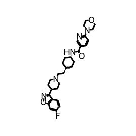 O=C(N[C@H]1CC[C@H](CCN2CCC(c3noc4cc(F)ccc34)CC2)CC1)c1ccc(N2CCOCC2)nc1